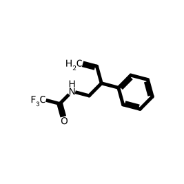 C=CC(CNC(=O)C(F)(F)F)c1ccccc1